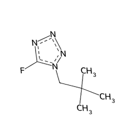 CC(C)(C)Cn1nnnc1F